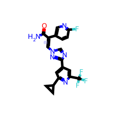 NC(=O)/C(=C/n1cnc(-c2cc(C3CC3)nc(C(F)(F)F)c2)n1)c1ccc(F)nc1